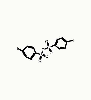 O=S(=O)(OS(=O)(=O)c1ccc(I)cc1)c1ccc(I)cc1